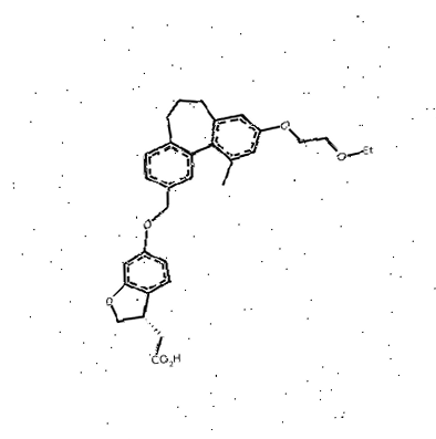 CCOCCOc1cc(C)c2c(c1)CCCc1ccc(COc3ccc4c(c3)OC[C@H]4CC(=O)O)cc1-2